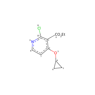 CCOC(=O)c1c(OC2CC2)ccnc1Cl